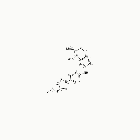 COC1=C(C(C)C)c2nc(Nc3ccc(N4CC5=CN(C)CC5C4)cc3)ncc2CC1